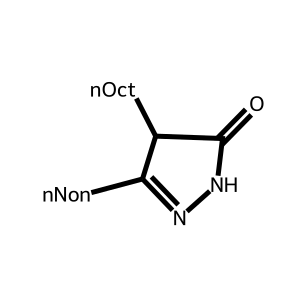 CCCCCCCCCC1=NNC(=O)C1CCCCCCCC